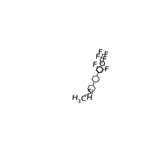 CCC[SiH]1CCC(C2CCC(c3cc(F)c(OCC(F)(F)C(F)F)c(F)c3)CC2)CC1